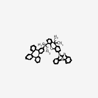 CC1(C)c2ccc(-n3c4ccccc4n4c5ccccc5nc34)cc2Oc2c1cccc2[Si](C)(C)c1ccc2c(c1)-c1ccccc1-c1ccccc1-c1ccccc1-2